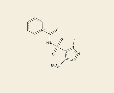 CCOC(=O)c1cnn(C)c1S(=O)(=O)NC(=O)[n+]1ccccc1